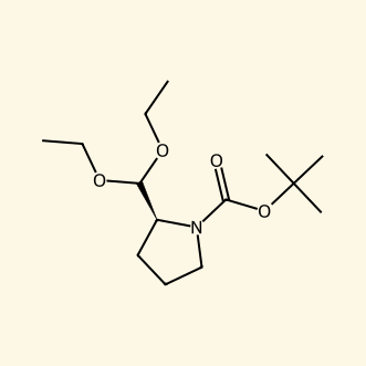 CCOC(OCC)[C@@H]1CCCN1C(=O)OC(C)(C)C